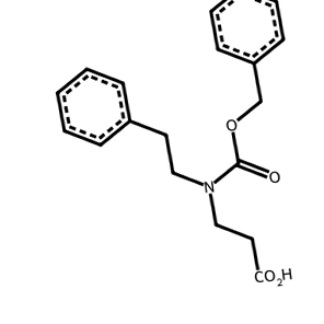 O=C(O)CCN(CCc1ccccc1)C(=O)OCc1ccccc1